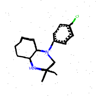 CC1(C)CN(c2ccc(Cl)cc2)C2CCCCC2N1